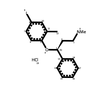 CNCC[C@H](Oc1ccc(I)cc1C)c1ccccc1.Cl